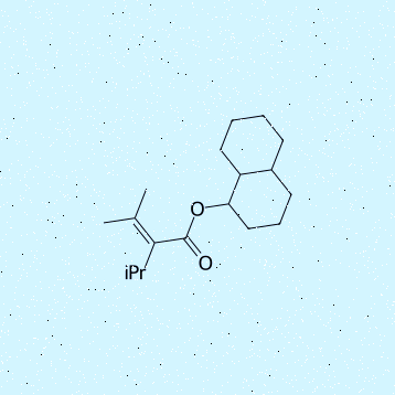 CC(C)=C(C(=O)OC1CCCC2CCCCC21)C(C)C